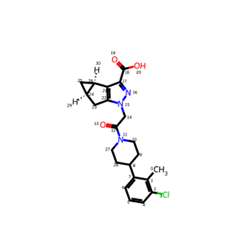 Cc1c(Cl)cccc1C1CCN(C(=O)Cn2nc(C(=O)O)c3c2C[C@H]2C[C@@H]32)CC1